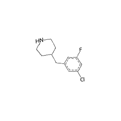 Fc1cc(Cl)cc(CC2CCNCC2)c1